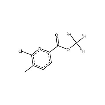 [2H]C([2H])([2H])OC(=O)c1ccc(C)c(Cl)n1